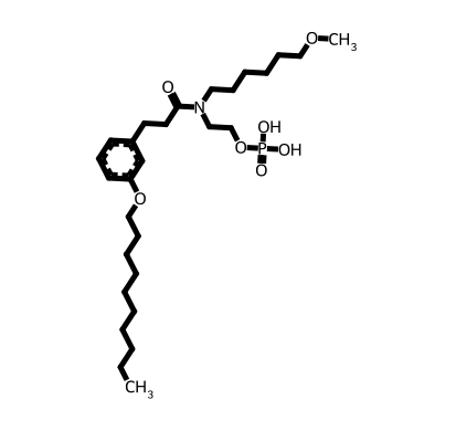 CCCCCCCCCCOc1cccc(CCC(=O)N(CCCCCCOC)CCOP(=O)(O)O)c1